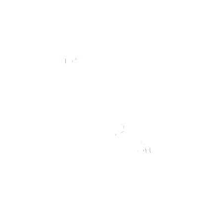 O=C(O)CCCCCCCCCCCCCCCCCOC(=O)CCCCC(=O)O